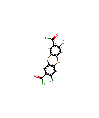 O=C(Cl)c1cc2c(cc1Cl)Sc1cc(Cl)c(C(=O)Cl)cc1S2